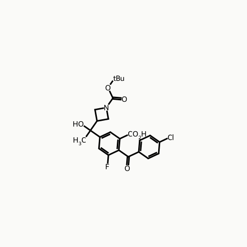 CC(C)(C)OC(=O)N1CC(C(C)(O)c2cc(F)c(C(=O)c3ccc(Cl)cc3)c(C(=O)O)c2)C1